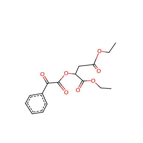 CCOC(=O)CC(OC(=O)C(=O)c1ccccc1)C(=O)OCC